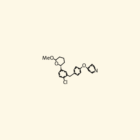 COC1CCC[C@@H](c2ccc(Cl)c(Cc3ccc(Oc4ccncc4)cc3)c2)O1